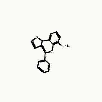 Nc1cccc2c1OC(c1ccccc1)=C1C=CSC12